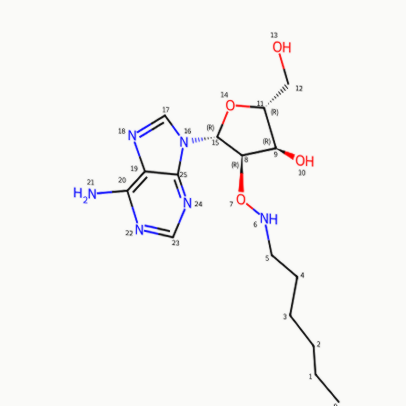 CCCCCCNO[C@@H]1[C@H](O)[C@@H](CO)O[C@H]1n1cnc2c(N)ncnc21